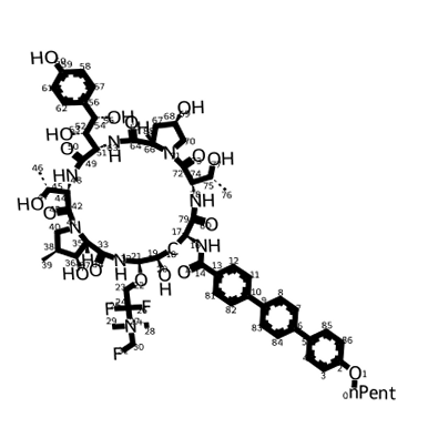 CCCCCOc1ccc(-c2ccc(-c3ccc(C(=O)N[C@H]4C[C@@H](O)[C@@H](OCC(F)(F)[N+](C)(C)CF)NC(=O)[C@@H]5[C@@H](O)[C@@H](C)CN5C(=O)[C@H]([C@@H](C)O)NC(=O)[C@H]([C@H](O)[C@@H](O)c5ccc(O)cc5)NC(=O)[C@@H]5C[C@@H](O)CN5C(=O)[C@H]([C@@H](C)O)NC4=O)cc3)cc2)cc1